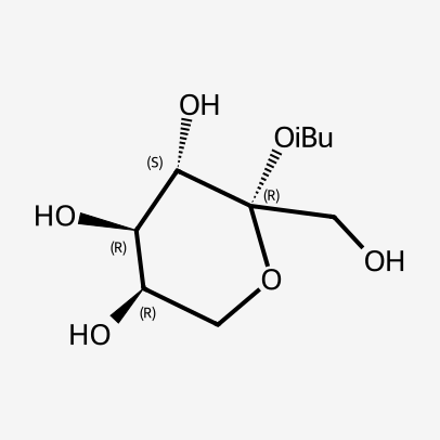 CC(C)CO[C@]1(CO)OC[C@@H](O)[C@@H](O)[C@@H]1O